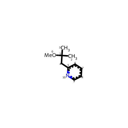 COC(C)(C)Cc1ccccn1